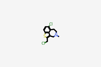 CN1CCc2c(Cl)ccc3sc(CCl)c(c23)C1